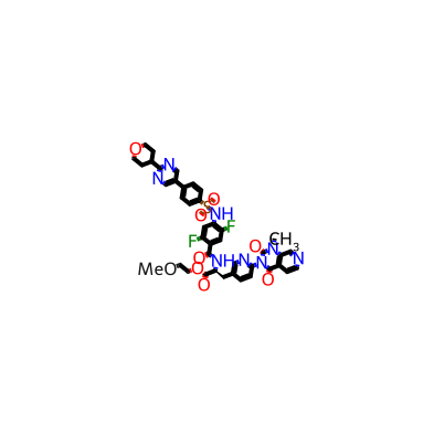 COCCOC(=O)[C@H](Cc1ccc(-n2c(=O)c3ccncc3n(C)c2=O)nc1)NC(=O)c1cc(F)c(NS(=O)(=O)c2ccc(-c3cnc(C4CCOCC4)nc3)cc2)cc1F